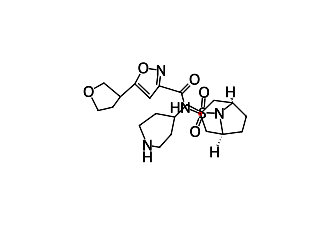 O=C(NC1C[C@H]2CC[C@@H](C1)N2S(=O)(=O)CC1CCNCC1)c1cc(C2CCOC2)on1